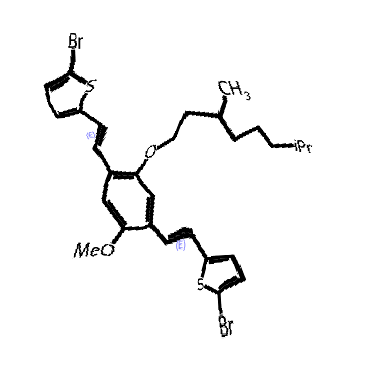 COc1cc(/C=C/c2ccc(Br)s2)c(OCCC(C)CCCC(C)C)cc1/C=C/c1ccc(Br)s1